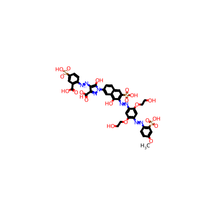 COc1ccc(/N=N/c2cc(OCCO)c(/N=N/c3c(S(=O)(=O)O)cc4ccc(-n5nc(C(=O)O)c(/N=N/c6ccc(S(=O)(=O)O)cc6C(=O)O)c5O)cc4c3O)cc2OCCO)c(S(=O)(=O)O)c1